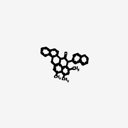 Cc1cc(C)c2c(C)cc3c4c2c1C(c1ccc2ccccc2c1)C(=O)C4c1ccc2ccccc2c1C3